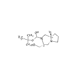 CC(C)(C)OC(O)N1C[C@@H]2CCCN2C[C@@H]1CO